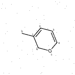 CC1=CC=CO[CH]1